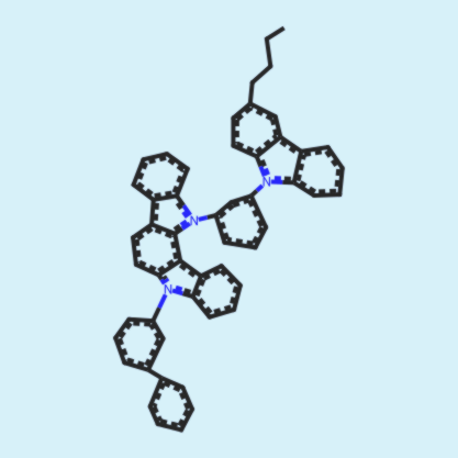 CCCCc1ccc2c(c1)c1ccccc1n2-c1cccc(-n2c3ccccc3c3ccc4c(c5ccccc5n4-c4cccc(-c5ccccc5)c4)c32)c1